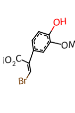 COc1cc(C(=CBr)C(=O)O)ccc1O